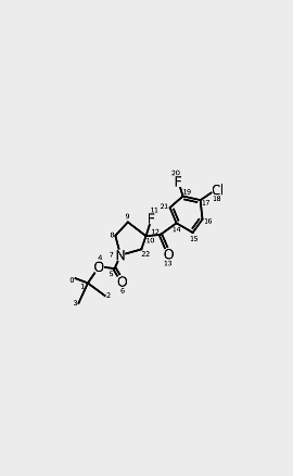 CC(C)(C)OC(=O)N1CCC(F)(C(=O)c2ccc(Cl)c(F)c2)C1